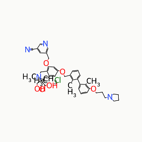 Cc1c(COc2cc(OCc3cncc(C#N)c3)c(CN(C)[C@@](C)(CO)C(=O)O)c(C)c2Cl)cccc1-c1cccc(OCCCN2CCCC2)c1C